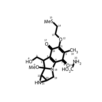 COC12C(CO)C3=C(C(=O)C(C)=C(OCCSC)C3=O)N1CC1NC12.NC(=O)O